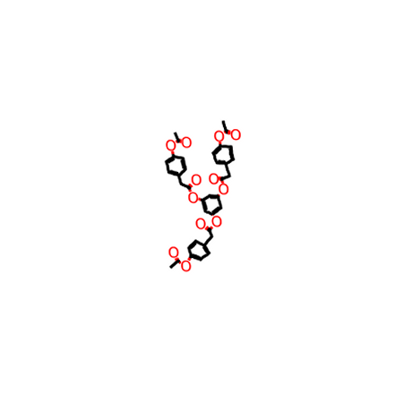 CC(=O)Oc1ccc(CC(=O)Oc2cc(OC(=O)Cc3ccc(OC(C)=O)cc3)cc(OC(=O)Cc3ccc(OC(C)=O)cc3)c2)cc1